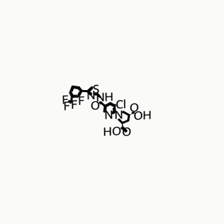 O=C(Nc1nc(-c2cccc(C(F)(F)F)c2F)cs1)c1cnc(N2C[C@H](C(=O)O)C[C@@H](C(=O)O)C2)c(Cl)c1